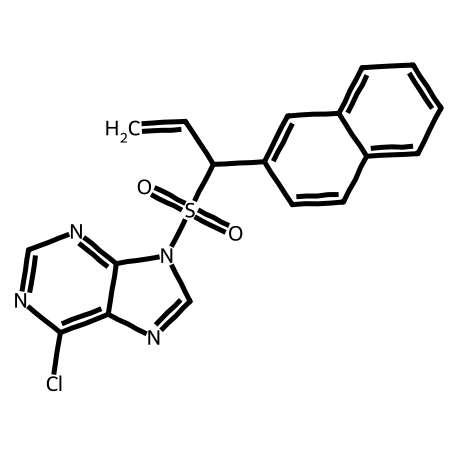 C=CC(c1ccc2ccccc2c1)S(=O)(=O)n1cnc2c(Cl)ncnc21